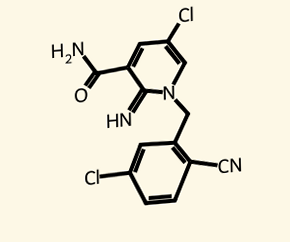 N#Cc1ccc(Cl)cc1Cn1cc(Cl)cc(C(N)=O)c1=N